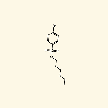 CCOCCCOS(=O)(=O)c1ccc(Br)cc1